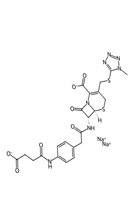 Cn1nnnc1SCC1=C(C(=O)[O-])N2C(=O)[C@@H](NC(=O)Cc3ccc(NC(=O)CCC(=O)[O-])cc3)[C@@H]2SC1.[Na+].[Na+]